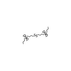 CCCC[Si](CCCCSSCCCC[Si](CCCC)(OC)OC)(OC)OC